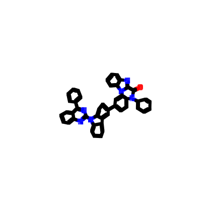 O=c1c2nc3ccccc3n2c2cc(-c3ccc4c(c3)c3ccccc3n4-c3nc(-c4ccccc4)c4ccccc4n3)ccc2n1-c1ccccc1